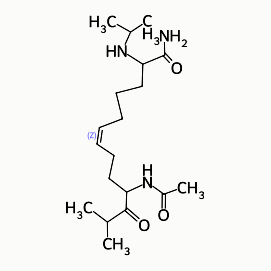 CC(=O)NC(CC/C=C\CCCC(NC(C)C)C(N)=O)C(=O)C(C)C